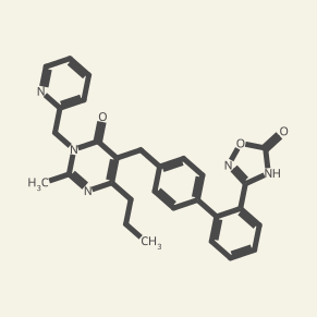 CCCc1nc(C)n(Cc2ccccn2)c(=O)c1Cc1ccc(-c2ccccc2-c2noc(=O)[nH]2)cc1